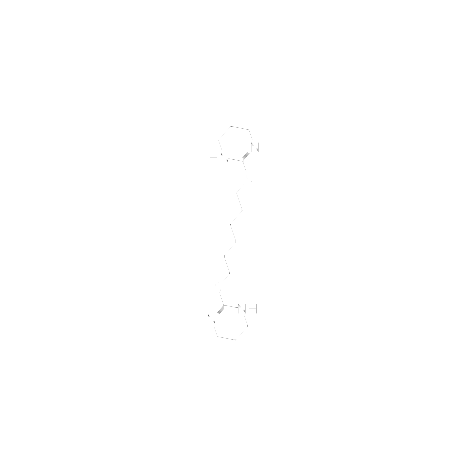 C(CCCSC1=NCCCN1)CCSC1=NCCCN1